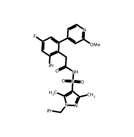 COc1cc(-c2cc(F)cc(C(C)C)c2CC(=O)NS(=O)(=O)c2c(C)nn(CC(C)C)c2C)ccn1